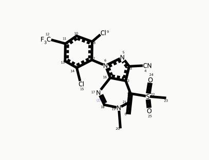 C=C(c1c(C#N)nn(-c2c(Cl)cc(C(F)(F)F)cc2Cl)c1/N=C\N(C)C)S(C)(=O)=O